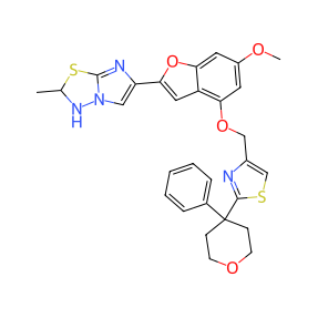 COc1cc(OCc2csc(C3(c4ccccc4)CCOCC3)n2)c2cc(-c3cn4c(n3)SC(C)N4)oc2c1